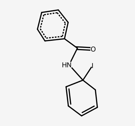 O=C(NC1(I)C=CC=CC1)c1ccccc1